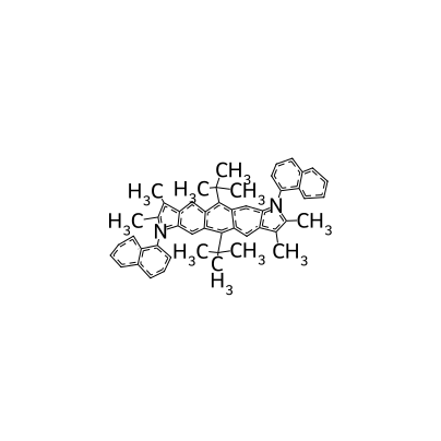 Cc1c(C)n(-c2cccc3ccccc23)c2cc3c(C(C)(C)C)c4cc5c(C)c(C)n(-c6cccc7ccccc67)c5cc4c(C(C)(C)C)c3cc12